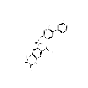 CC(C)c1cc2[nH]c(=O)c(=O)[nH]c2cc1S(=O)(=O)Nc1ccc(-c2cccc(Cl)c2)c(Cl)c1